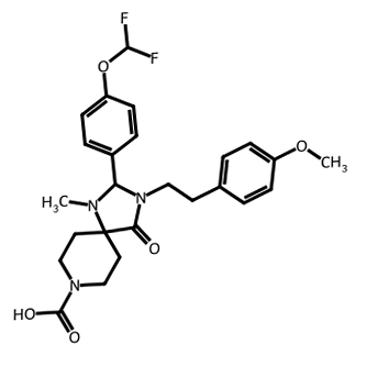 COc1ccc(CCN2C(=O)C3(CCN(C(=O)O)CC3)N(C)C2c2ccc(OC(F)F)cc2)cc1